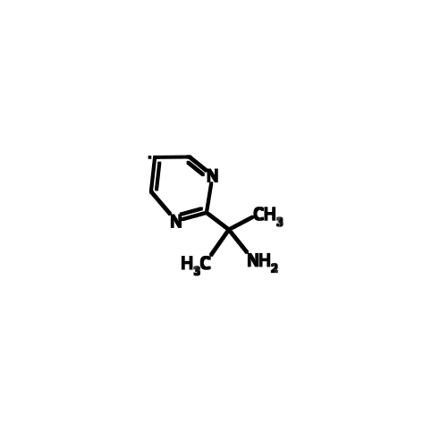 CC(C)(N)c1nc[c]cn1